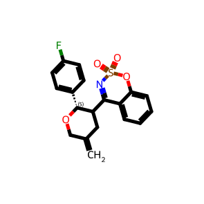 C=C1CO[C@H](c2ccc(F)cc2)C(C2=NS(=O)(=O)Oc3ccccc32)C1